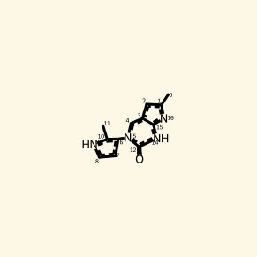 Cc1cc2cn(-c3cc[nH]c3C)c(=O)[nH]c-2n1